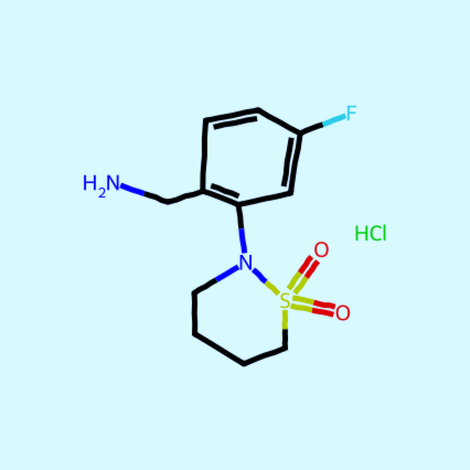 Cl.NCc1ccc(F)cc1N1CCCCS1(=O)=O